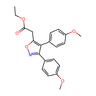 CCOC(=O)Cc1onc(-c2ccc(OC)cc2)c1-c1ccc(OC)cc1